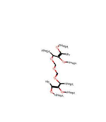 CCCCCCCOC(CCC)=C(OCCCCCCC)C(CCCCCCC)OCOCOC(CCCCCCC)C(OCCCCCCC)=C(CCC)OCCCCCCC